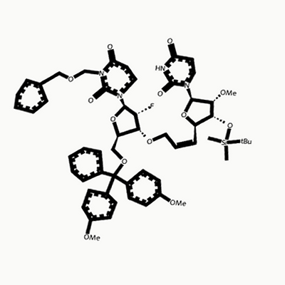 COc1ccc(C(OC[C@H]2O[C@@H](n3ccc(=O)n(COCc4ccccc4)c3=O)[C@H](F)[C@@H]2OC/C=C\[C@H]2O[C@@H](n3ccc(=O)[nH]c3=O)[C@H](OC)[C@@H]2O[Si](C)(C)C(C)(C)C)(c2ccccc2)c2ccc(OC)cc2)cc1